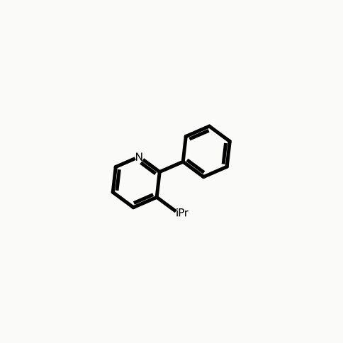 CC(C)c1cccnc1-c1ccccc1